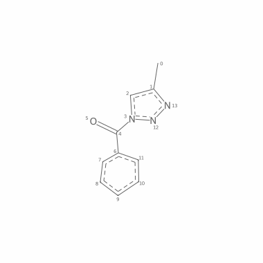 Cc1cn(C(=O)c2ccccc2)nn1